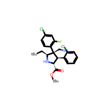 CC(C)(C)C[C@@H]1N[C@@H](C(=O)OC(C)(C)C)[C@H](c2ccccc2Cl)[C@@]1(CN)c1ccc(Cl)cc1F